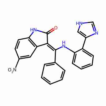 O=C1Nc2ccc([N+](=O)[O-])cc2C1=C(Nc1ccccc1-c1c[nH]cn1)c1ccccc1